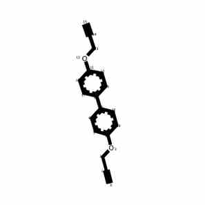 C#CCOc1ccc(-c2ccc(OCC#C)cc2)cc1